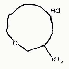 Cl.NC1CCCCCCOC1